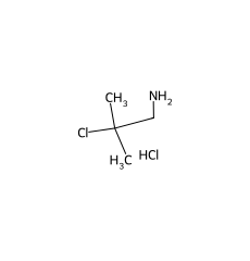 CC(C)(Cl)CN.Cl